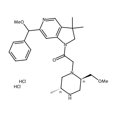 COC[C@H]1CN[C@H](C)CN1CC(=O)N1CC(C)(C)c2cnc(C(OC)c3ccccc3)cc21.Cl.Cl